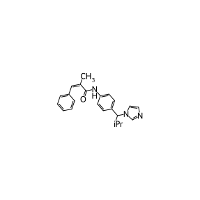 CC(=Cc1ccccc1)C(=O)Nc1ccc(C(C(C)C)n2ccnc2)cc1